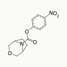 O=C(Oc1ccc([N+](=O)[O-])cc1)N1C2CCC1COC2